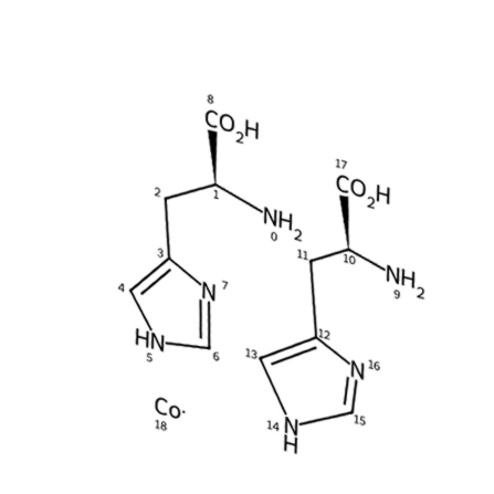 N[C@@H](Cc1c[nH]cn1)C(=O)O.N[C@@H](Cc1c[nH]cn1)C(=O)O.[Co]